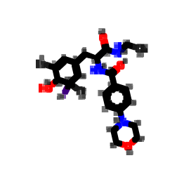 CCC1=CC(C[C@H](NC(=O)c2ccc(N3CCOCC3)cc2)C(=O)NCC#N)=CC(I)(CC)C1O